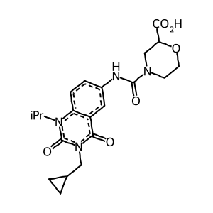 CC(C)n1c(=O)n(CC2CC2)c(=O)c2cc(NC(=O)N3CCOC(C(=O)O)C3)ccc21